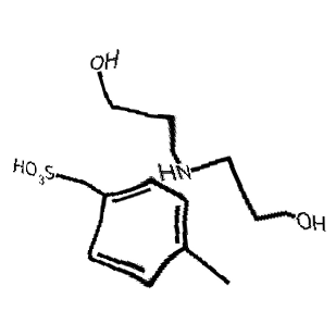 Cc1ccc(S(=O)(=O)O)cc1.OCCNCCO